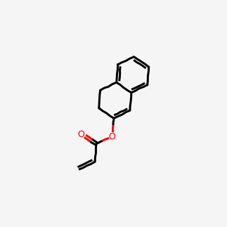 C=CC(=O)OC1=Cc2ccccc2CC1